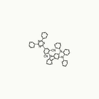 N#Cc1cc(-c2nc(-c3ccccc3)nc(-c3ccccc3)n2)cc(C#N)c1-n1c2ccccc2c2cc3c(cc21)N(c1ccccc1)c1ccccc1N3c1ccccc1